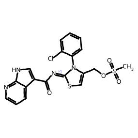 CS(=O)(=O)OCc1cs/c(=N\C(=O)c2c[nH]c3ncccc23)n1-c1ccccc1Cl